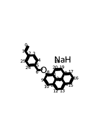 C=Cc1ccc(COc2ccc3ccc4cccc5ccc2c3c45)cc1.[NaH]